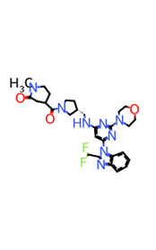 CN1CCC(C(=O)N2CC[C@H](CNc3cc(-n4c(C(F)F)nc5ccccc54)nc(N4CCOCC4)n3)C2)CC1=O